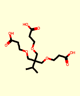 CC(C)C(COCCC(=O)O)(COCCC(=O)O)COCCC(=O)O